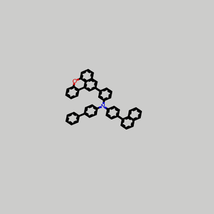 c1ccc(-c2ccc(N(c3ccc(-c4cccc5ccccc45)cc3)c3cccc(-c4cc5c6c(cccc6c4)Oc4ccccc4-5)c3)cc2)cc1